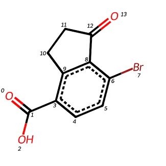 O=C(O)c1ccc(Br)c2c1CCC2=O